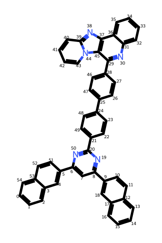 c1ccc2cc(-c3cc(-c4ccc5ccccc5c4)nc(-c4ccc(-c5ccc(-c6nc7ccccc7c7nc8ccccn8c67)cc5)cc4)n3)ccc2c1